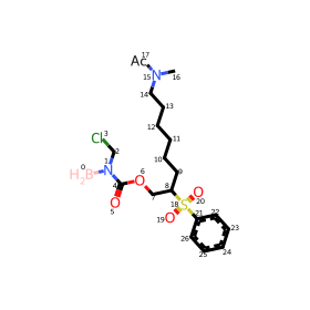 BN(CCl)C(=O)OCC(CCCCCCN(C)C(C)=O)S(=O)(=O)c1ccccc1